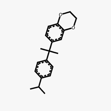 CC(C)c1ccc(C(C)(C)c2ccc3c(c2)OCCO3)cc1